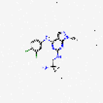 Cn1ncc2c(Nc3ccc(F)c(F)c3)nc(NCC3(N)CC3)nc21